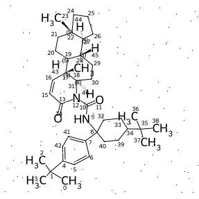 CC(C)(C)c1ccc(C2(NC(=O)N3C(=O)C=C[C@]4(C)[C@H]5CC[C@]6(C)CCC[C@H]6[C@@H]5CC[C@@H]34)CCC(C(C)(C)C)CC2)cc1